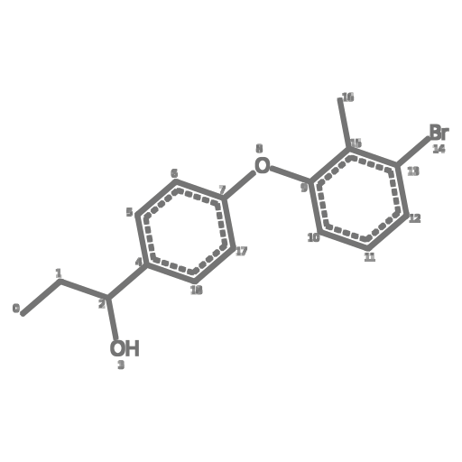 CCC(O)c1ccc(Oc2cccc(Br)c2C)cc1